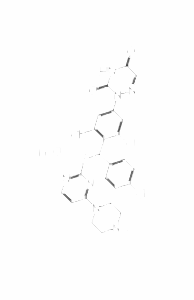 O.O=c1cnn(-c2cc(Cl)c(C(Sc3nccc(N4CCNCC4)n3)c3ccc(Cl)cc3)c(Cl)c2)c(=O)[nH]1